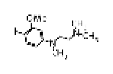 COc1cc(N(C)CCN(C)C)ccc1I